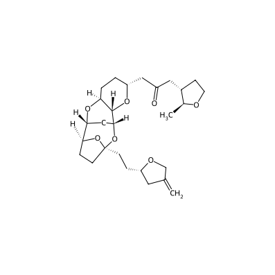 C=C1CO[C@@H](CC[C@]23CC[C@H](O2)[C@H]2C[C@@H](O3)[C@H]3O[C@@H](CC(=O)C[C@@H]4CCO[C@H]4C)CC[C@@H]3O2)C1